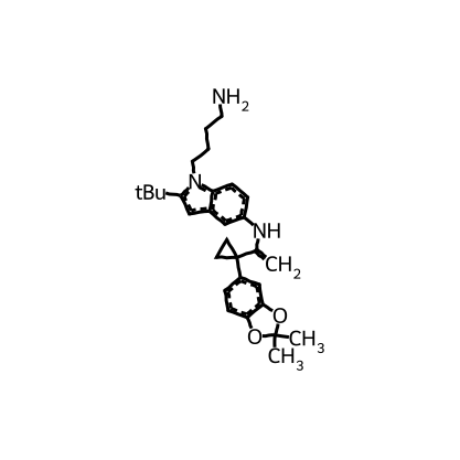 C=C(Nc1ccc2c(c1)cc(C(C)(C)C)n2CCCCN)C1(c2ccc3c(c2)OC(C)(C)O3)CC1